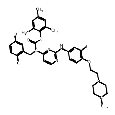 Cc1cc(C)c(OC(=O)N(Cc2cc(Cl)ccc2Cl)c2ccnc(Nc3ccc(OCCN4CCN(C)CC4)c(F)c3)n2)c(C)c1